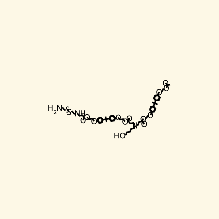 CC(=O)OCCOc1ccc(C(C)(C)c2ccc(OCCOC(=O)CCN(CCCCCO)CCC(=O)OCCOc3ccc(C(C)(C)c4ccc(OCCOC(=O)CCNCCSSCCN)cc4)cc3)cc2)cc1